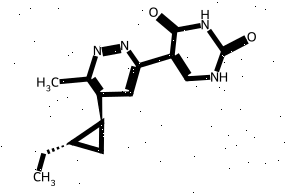 CC[C@H]1C[C@@H]1c1cc(-c2c[nH]c(=O)[nH]c2=O)nnc1C